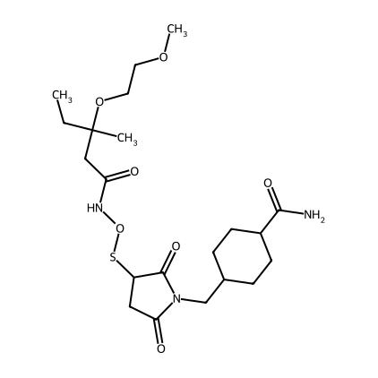 CCC(C)(CC(=O)NOSC1CC(=O)N(CC2CCC(C(N)=O)CC2)C1=O)OCCOC